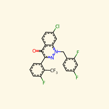 O=c1c(-c2cccc(F)c2C(F)(F)F)nn(Cc2ccc(F)cc2F)c2cc(Cl)ccc12